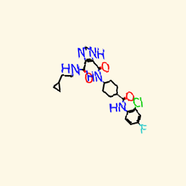 O=C(NCCC1CC1)c1nc[nH]c1C(=O)N[C@H]1CC[C@H](C(=O)Nc2ccc(F)cc2Cl)CC1